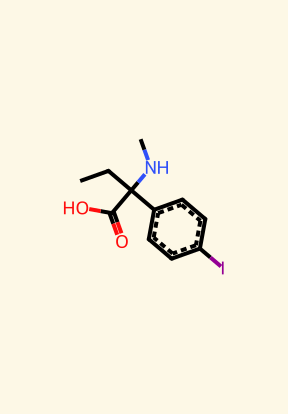 CCC(NC)(C(=O)O)c1ccc(I)cc1